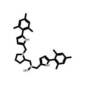 CCCN(Cc1ccc(-c2c(C)cc(C)cc2C)[nH]1)CC1CCCN1Cc1ccc(-c2c(C)cc(C)cc2C)[nH]1